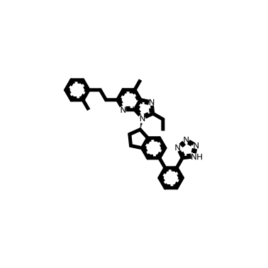 CCc1nc2c(C)cc(CCc3ccccc3C)nc2n1[C@H]1CCc2cc(-c3ccccc3-c3nnn[nH]3)ccc21